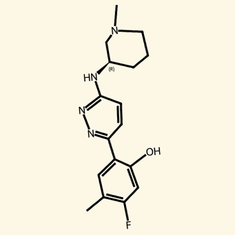 Cc1cc(-c2ccc(N[C@@H]3CCCN(C)C3)nn2)c(O)cc1F